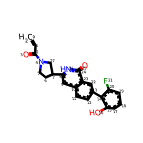 C=CC(=O)N1CCC(c2cc3ccc(-c4c(O)cccc4F)cc3c(=O)[nH]2)C1